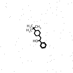 CC(C)(C)C1CCC(CC(O)c2ccccc2)CC1